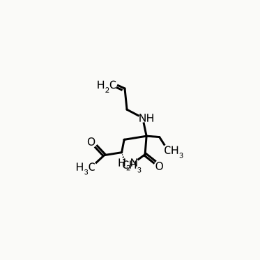 C=CCNC(CC)(C[C@H](C)C(C)=O)C(N)=O